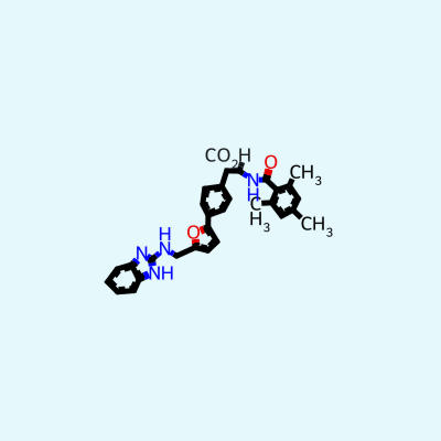 Cc1cc(C)c(C(=O)NC(Cc2ccc(-c3ccc(CNc4nc5ccccc5[nH]4)o3)cc2)C(=O)O)c(C)c1